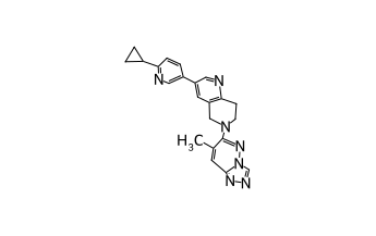 Cc1cc2nncn2nc1N1CCc2ncc(-c3ccc(C4CC4)nc3)cc2C1